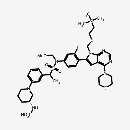 COCN(c1ccc(-c2cc3c(N4CCOCC4)ncnc3n2COCC[Si](C)(C)C)c(F)c1)S(=O)(=O)C(C)c1cccc(N2CCC[C@@H](NC(=O)O)C2)c1